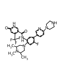 CC1CN(c2cc(F)c(-c3ccc(N4CCNCC4)nc3)cc2NC(=O)c2c[nH]c(=O)cc2C(F)(F)F)CC(C)N1C